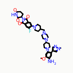 COc1cc(N2CCC(N3CCN(CC4CCN(c5cc6c(cc5F)C(=O)N(C5CCC(=O)NC5=O)C6=O)CC4)CC3)CC2)c(-c2cnn(C)c2)cc1N